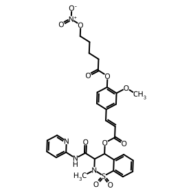 COc1cc(/C=C/C(=O)OC2c3ccccc3S(=O)(=O)N(C)C2C(=O)Nc2ccccn2)ccc1OC(=O)CCCCO[N+](=O)[O-]